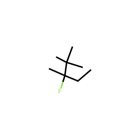 CCC(C)(F)C(C)(C)C